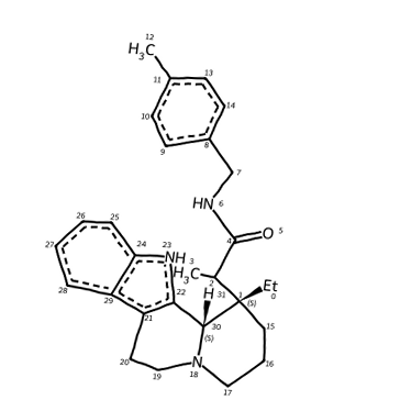 CC[C@@]1(C(C)C(=O)NCc2ccc(C)cc2)CCCN2CCc3c([nH]c4ccccc34)[C@@H]21